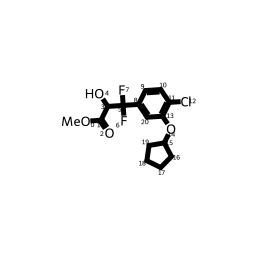 COC(=O)C(O)C(F)(F)c1ccc(Cl)c(OC2CCCC2)c1